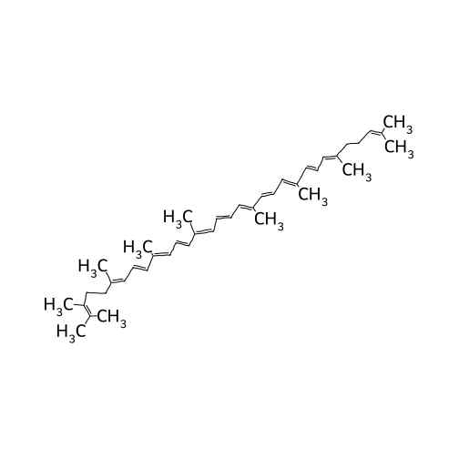 CC(C)=CCC/C(C)=C/C=C/C(C)=C/C=C/C(C)=C/C=C/C=C(C)/C=C/C=C(C)/C=C/C=C(\C)CCC(C)=C(C)C